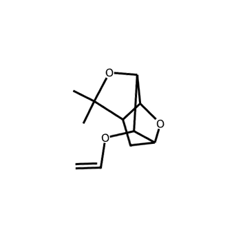 C=COC1C2CC3C(O2)C1OC3(C)C